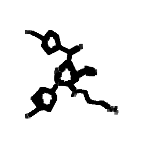 N#Cc1c(C(=O)c2ccc(Br)cc2)nn(-c2ccc(Cl)cc2)c1NCCCN